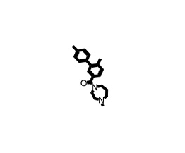 Cc1ccc(-c2cc(C(=O)N3CCCN(C)CC3)ccc2C)cc1